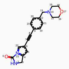 O=C1NCc2cc(C#Cc3ccc(CN4CCOCC4)cc3)cn21